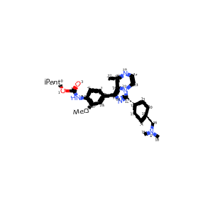 CCCC(C)OC(=O)Nc1ccc(-c2nc([C@H]3CC[C@H](CN(C)C)CC3)n3ccnc(C)c23)cc1OC